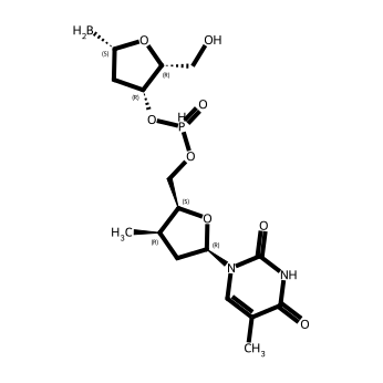 B[C@H]1C[C@@H](O[PH](=O)OC[C@H]2O[C@@H](n3cc(C)c(=O)[nH]c3=O)C[C@H]2C)[C@@H](CO)O1